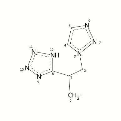 [CH2]C(Cn1ccnn1)c1nnn[nH]1